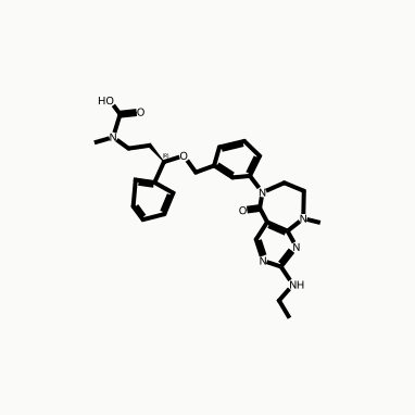 CCNc1ncc2c(n1)N(C)CCN(c1cccc(CO[C@H](CCN(C)C(=O)O)c3ccccc3)c1)C2=O